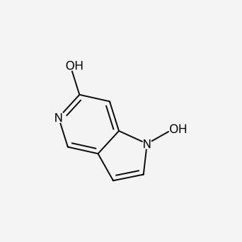 Oc1cc2c(ccn2O)cn1